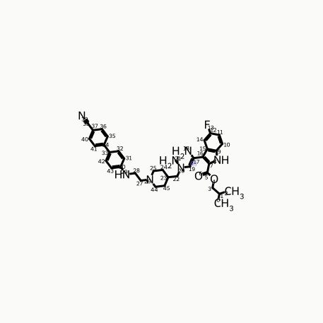 CC(C)COC(=O)c1[nH]c2ccc(F)cc2c1/C(N)=C/N(N)CC1CCN(CCNc2ccc(-c3ccc(C#N)cc3)cc2)CC1